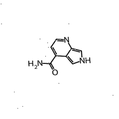 NC(=O)c1ccnc2c[nH]cc12